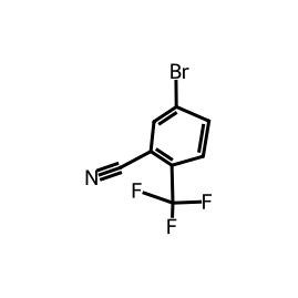 N#Cc1cc(Br)ccc1C(F)(F)F